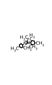 C=CC1CN(c2ccc(C)cc2C)C=[N+]1c1c(C)cc(C)cc1C